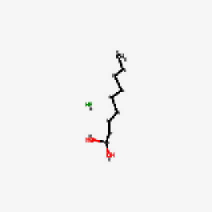 CCCCCCCCC(O)O.F